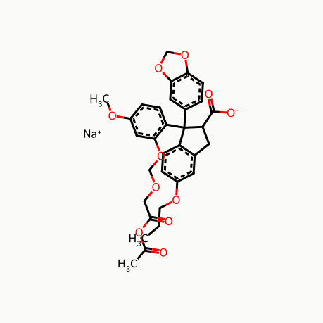 CCCOc1ccc2c(c1)CC(C(=O)[O-])C2(c1ccc2c(c1)OCO2)c1ccc(OC)cc1OCOCC(=O)OC(C)=O.[Na+]